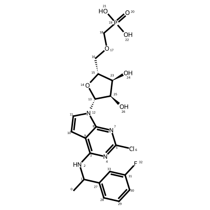 CC(Nc1nc(Cl)nc2c1ccn2[C@@H]1O[C@H](COCP(=O)(O)O)[C@@H](O)[C@H]1O)c1cccc(F)c1